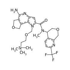 CN(C(=O)c1cc2nc(N)c3c(c2n1COCC[Si](C)(C)C)COC3)C1COCc2nc(C(F)(F)F)ccc21